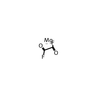 O=C(F)C(=O)F.[Mg]